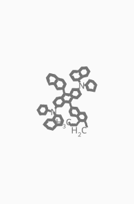 C=Cc1ccc2cc(-c3c4ccc(N(c5ccccc5)c5cccc6ccccc56)cc4c(-c4ccc5ccccc5c4)c4ccc(N(c5ccccc5)c5cccc6ccccc56)cc34)ccc2c1/C=C\C